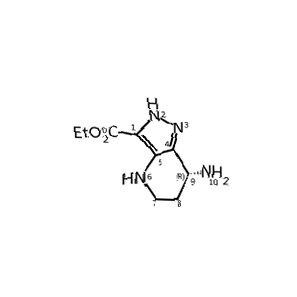 CCOC(=O)c1[nH]nc2c1NCC[C@H]2N